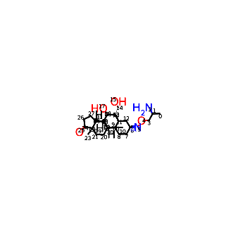 CC(N)CO/N=C1/CC[C@@]2(C)C(C1)[C@@H](CO)[C@@H](O)[C@@H]1[C@@H]2CC[C@]2(C)C(=O)CC[C@@H]12